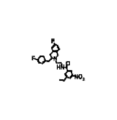 C=Cc1cc(C(=O)NCCN2Cc3ccc(F)cc3CC2Cc2ccc(F)cc2)cc([N+](=O)[O-])c1